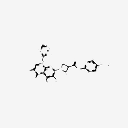 COc1ccc(NC(=O)C2CN(c3nc4c(c(C)c3F)c(=O)c(C(=O)O)cn4-c3ncns3)C2)nc1